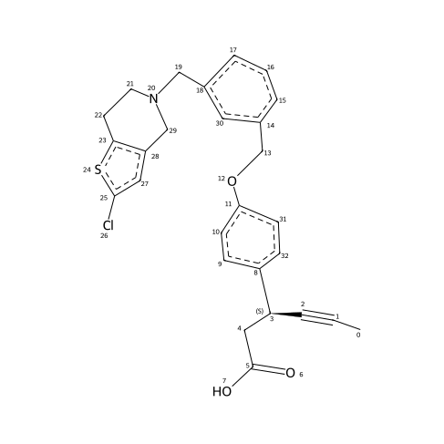 CC#C[C@@H](CC(=O)O)c1ccc(OCc2cccc(CN3CCc4sc(Cl)cc4C3)c2)cc1